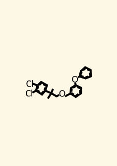 CC(C)(COCc1cccc(Oc2ccccc2)c1)c1ccc(Cl)c(Cl)c1